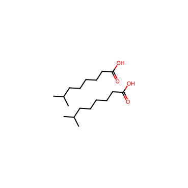 CC(C)CCCCCC(=O)O.CC(C)CCCCCC(=O)O